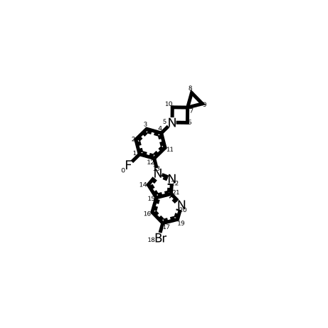 Fc1ccc(N2CC3(CC3)C2)cc1-n1cc2cc(Br)cnc2n1